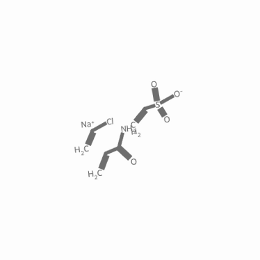 C=CC(N)=O.C=CCl.C=CS(=O)(=O)[O-].[Na+]